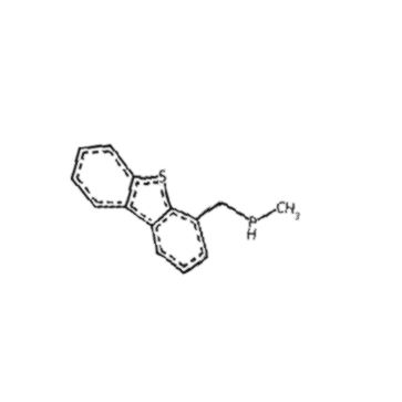 CPCc1cccc2c1sc1ccccc12